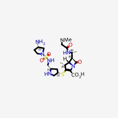 CNCC(=O)N[C@H](C)[C@H]1C(=O)N2C(C(=O)O)=C(S[C@@H]3CN[C@H](CNS(=O)(=O)N4CC[C@H](N)C4)C3)[C@H](C)[C@H]12